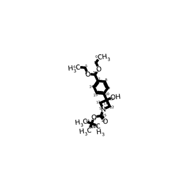 CCOC(OCC)c1ccc(C2(O)CN(C(=O)OC(C)(C)C)C2)cc1